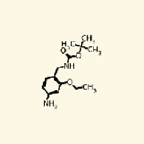 CCOc1cc(N)ccc1CNC(=O)OC(C)(C)C